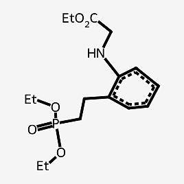 CCOC(=O)CNc1ccccc1CCP(=O)(OCC)OCC